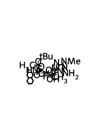 CNc1nc(N)nc2c1ncn2[C@@H]1O[C@](F)(COP(=S)(N[C@H](C)C(=O)OCC(C)(C)C)Oc2cccc3ccccc23)[C@@H](O)[C@@]1(C)F